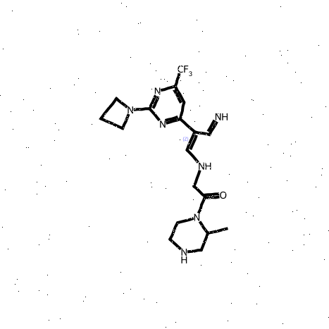 CC1CNCCN1C(=O)CN/C=C(\C=N)c1cc(C(F)(F)F)nc(N2CCC2)n1